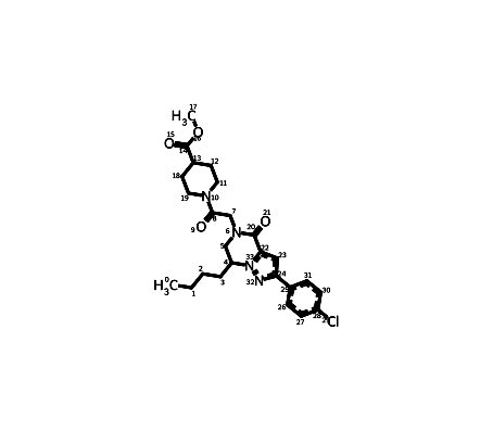 CCCCC1CN(CC(=O)N2CCC(C(=O)OC)CC2)C(=O)c2cc(-c3ccc(Cl)cc3)nn21